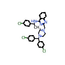 CC(Nc1nc(CN2CCN(C(c3ccc(Cl)cc3)c3ccc(Cl)cc3)CC2)nc2ccccc12)c1ccc(Cl)cc1